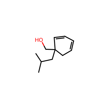 CC(C)CC1(CO)C=CC=CC1